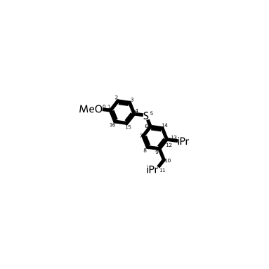 COc1ccc(Sc2ccc(CC(C)C)c(C(C)C)c2)cc1